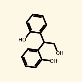 OCC(c1ccccc1O)c1ccccc1O